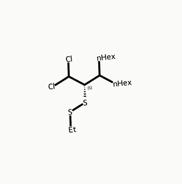 CCCCCCC(CCCCCC)[C@H](SSCC)C(Cl)Cl